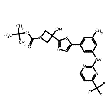 Cc1cc(Nc2nccc(C(F)(F)F)n2)cc(-c2cnc(C3(O)CN(C(=O)OC(C)(C)C)C3)s2)c1